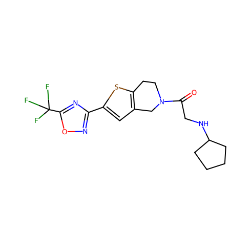 O=C(CNC1CCCC1)N1CCc2sc(-c3noc(C(F)(F)F)n3)cc2C1